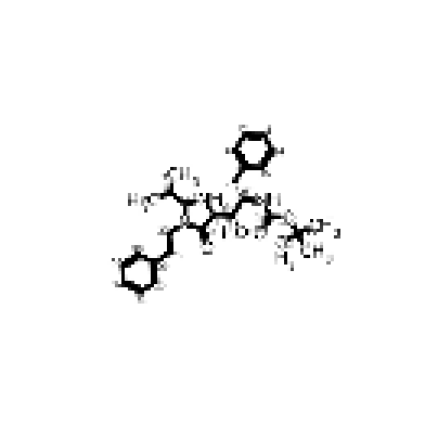 CC(C)C1N[C@@H]([C@@H](O)[C@H](Cc2ccccc2)NC(=O)OC(C)(C)C)C(=O)N1CCc1ccccc1